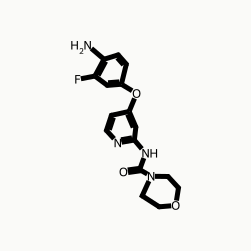 Nc1ccc(Oc2ccnc(NC(=O)N3CCOCC3)c2)cc1F